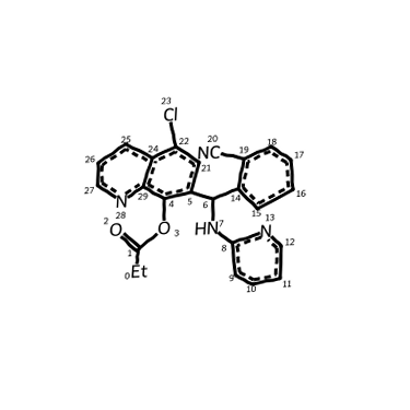 CCC(=O)Oc1c(C(Nc2ccccn2)c2ccccc2C#N)cc(Cl)c2cccnc12